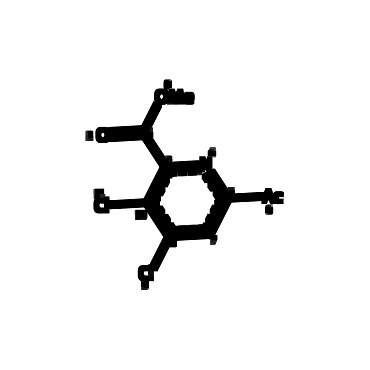 COC(=O)c1nc(C(C)=O)cc(Cl)c1Cl